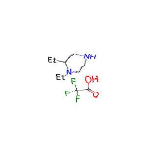 CCC1CNCCN1CC.O=C(O)C(F)(F)F